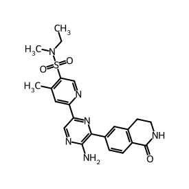 CCN(C)S(=O)(=O)c1cnc(-c2cnc(N)c(-c3ccc4c(c3)CCNC4=O)n2)cc1C